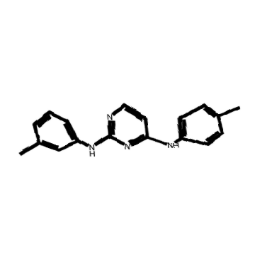 Cc1ccc(Nc2ccnc(Nc3cccc(C)c3)n2)cc1